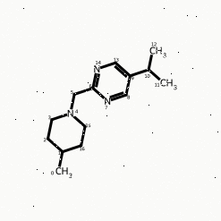 CC1CCN(Cc2ncc(C(C)C)cn2)CC1